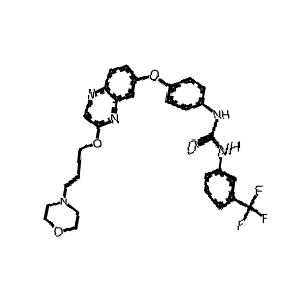 O=C(Nc1ccc(Oc2ccc3ncc(OCCCN4CCOCC4)nc3c2)cc1)Nc1cccc(C(F)(F)F)c1